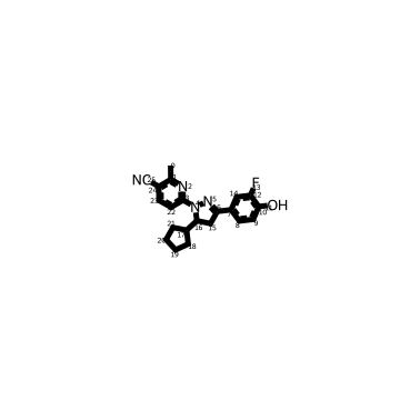 Cc1nc(N2N=C(c3ccc(O)c(F)c3)CC2C2CCCC2)ccc1C#N